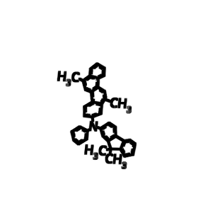 Cc1cc2c3ccc(N(c4ccccc4)c4ccc5c(c4)C(C)(C)c4ccccc4-5)cc3c(C)cc2c2ccccc12